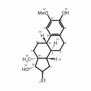 CCC1C[C@H]2[C@@H]3CCc4cc(O)c(OC)cc4[C@H]3CC[C@]2(C)[C@H]1O